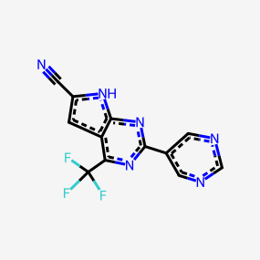 N#Cc1cc2c(C(F)(F)F)nc(-c3cncnc3)nc2[nH]1